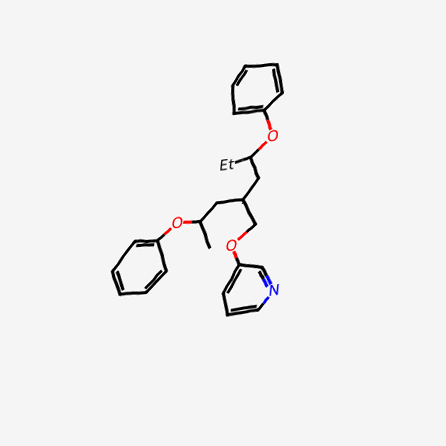 CCC(C[C](COc1cccnc1)CC(C)Oc1ccccc1)Oc1ccccc1